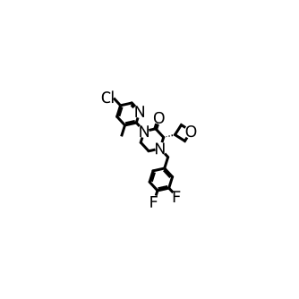 Cc1cc(Cl)cnc1N1CCN(Cc2ccc(F)c(F)c2)[C@@H](C2COC2)C1=O